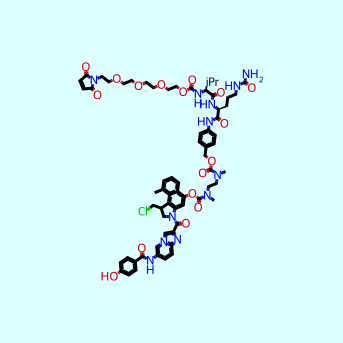 Cc1cccc2c(OC(=O)N(C)CCN(C)C(=O)OCc3ccc(NC(=O)[C@H](CCCNC(N)=O)NC(=O)[C@@H](NC(=O)OCCOCCOCCOCCN4C(=O)C=CC4=O)C(C)C)cc3)cc3c(c12)C(CCl)CN3C(=O)c1cn2cc(NC(=O)c3ccc(O)cc3)ccc2n1